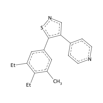 CCc1cc(-c2sncc2-c2ccncc2)cc(C)c1CC